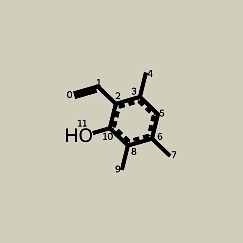 C=Cc1c(C)cc(C)c(C)c1O